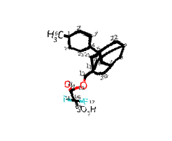 CC1CCC(C23CC4CC(CC(COC(=O)C(F)(F)S(=O)(=O)O)(C4)C2)C3)CC1